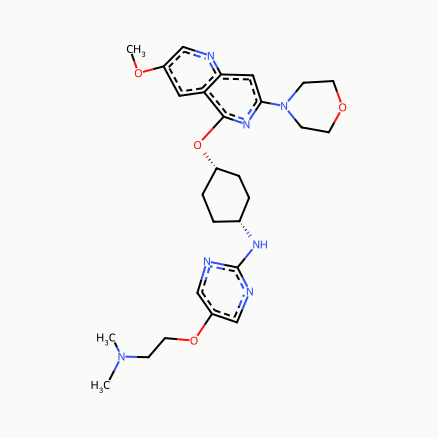 COc1cnc2cc(N3CCOCC3)nc(O[C@H]3CC[C@@H](Nc4ncc(OCCN(C)C)cn4)CC3)c2c1